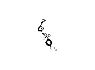 C#C[C@@H]1CC[C@H](COS(=O)(=O)c2ccc(C)cc2)O1